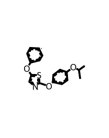 CC(C)Oc1ccc(Oc2ncc(Oc3cc[c]cc3)s2)cc1